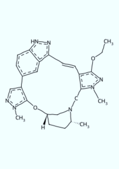 CCOc1nn(C)c2c1/C=C/c1n[nH]c3ccc(cc13)-c1cnn(C)c1O[C@H]1CC[C@@H](C)N(C2)C1